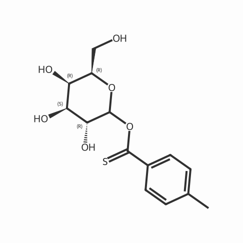 Cc1ccc(C(=S)OC2O[C@H](CO)[C@H](O)[C@H](O)[C@H]2O)cc1